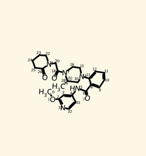 COc1cc(NC(=O)c2ccccc2N2CCN(C(=O)CN3CCCCC3=O)[C@@H](C)C2)ccn1